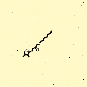 C=CCCCCCCCC(=O)CCC1OCC(C)C1C